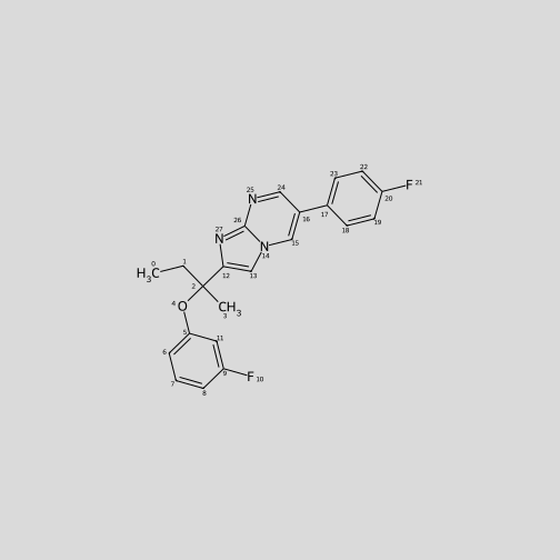 CCC(C)(Oc1cccc(F)c1)c1cn2cc(-c3ccc(F)cc3)cnc2n1